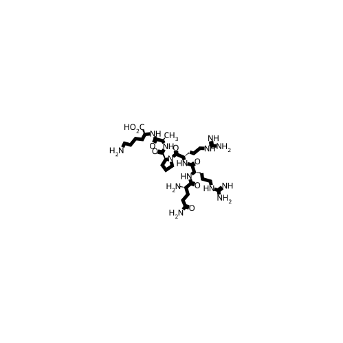 C[C@H](NC(=O)[C@@H]1CCCN1C(=O)[C@H](CCCNC(=N)N)NC(=O)[C@H](CCCNC(=N)N)NC(=O)[C@@H](N)CCC(N)=O)C(=O)N[C@@H](CCCCN)C(=O)O